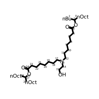 CCCCCCCCC(CCCC)OC(=O)CCCCCCCN(CCO)CCCCCCCC(=O)OC(CCCCCCCC)CCCCCCCC